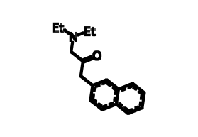 CCN(CC)CC(=O)Cc1ccc2ccccc2c1